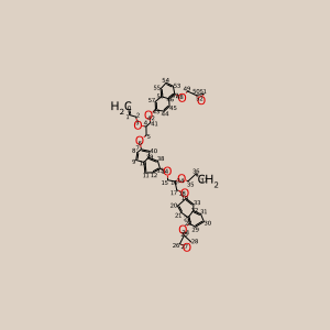 C=CCOC(COc1ccc2ccc(OCC(COc3ccc4c(OC5COC5)cccc4c3)OCC=C)cc2c1)COc1ccc2c(OCC3CO3)cccc2c1